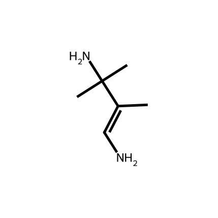 C/C(=C\N)C(C)(C)N